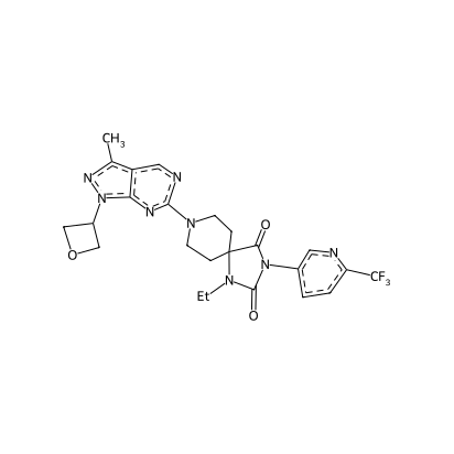 CCN1C(=O)N(c2ccc(C(F)(F)F)nc2)C(=O)C12CCN(c1ncc3c(C)nn(C4COC4)c3n1)CC2